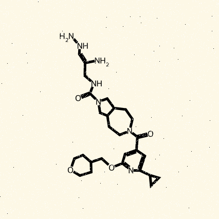 NN/C=C(\N)CNC(=O)N1CC2CCN(C(=O)c3cc(OCC4CCOCC4)nc(C4CC4)c3)CCC2C1